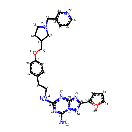 Nc1nc(NCCc2ccc(OCC3CCN(Cc4cccnc4)C3)cc2)nc2nc(-c3ccco3)nn12